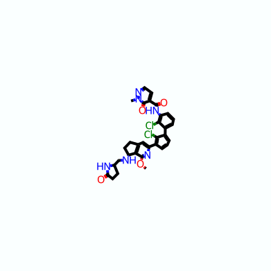 COc1nc(-c2cccc(-c3cccc(NC(=O)c4ccnn(C)c4=O)c3Cl)c2Cl)cc2c1C(NCC1CCC(=O)N1)CC2